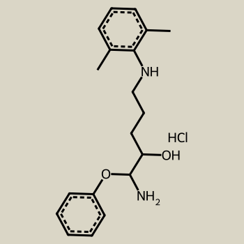 Cc1cccc(C)c1NCCCC(O)C(N)Oc1ccccc1.Cl